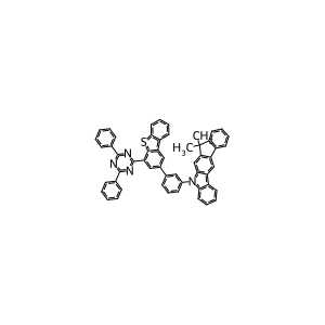 CC1(C)c2ccccc2-c2cc3c4ccccc4n(-c4cccc(-c5cc(-c6nc(-c7ccccc7)nc(-c7ccccc7)n6)c6sc7ccccc7c6c5)c4)c3cc21